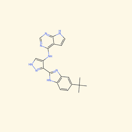 CC(C)(C)c1ccc2[nH]c(-c3n[nH]cc3Nc3ncnc4[nH]ccc34)nc2c1